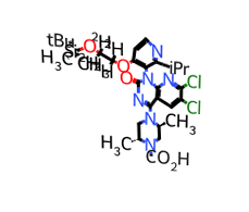 [2H]C([2H])(Oc1ccnc(C(C)C)c1-n1c(=O)nc(N2C[C@@H](C)N(C(=O)O)C[C@@H]2C)c2cc(Cl)c(Cl)nc21)C([2H])([2H])O[Si](C)(C)C(C)(C)C